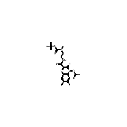 CC(=O)On1c(=O)c(C(=O)NCCN(C)C(=O)OC(C)(C)C)nc2cc(C)c(C)cc21